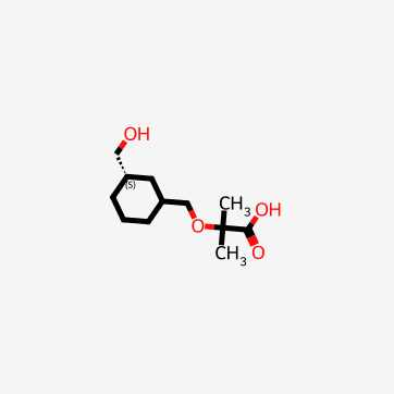 CC(C)(OCC1CCC[C@H](CO)C1)C(=O)O